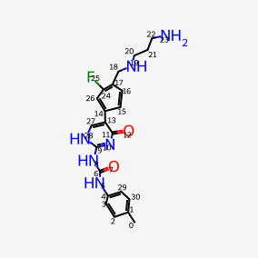 Cc1ccc(NC(=O)Nc2nc(=O)c(-c3ccc(CNCCCN)c(F)c3)c[nH]2)cc1